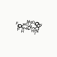 COc1ccc2ncc(CN)c(C(F)CCC3(CC(=O)O)CCN(CCNc4c(F)cc(F)cc4F)CC3)c2c1